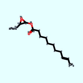 CC=CCCCCCCCC(=O)OC1OC1CCCCC